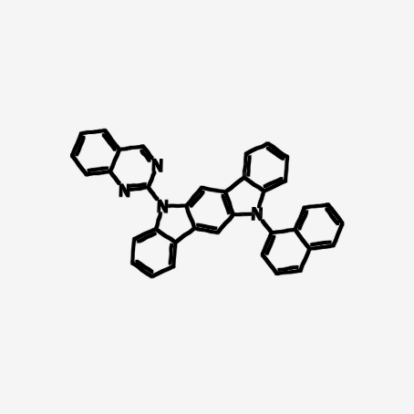 c1ccc2nc(-n3c4ccccc4c4cc5c(cc43)c3ccccc3n5-c3cccc4ccccc34)ncc2c1